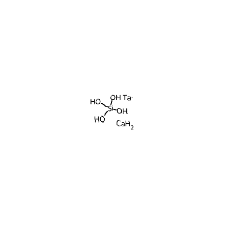 O[Si](O)(O)O.[CaH2].[Ta]